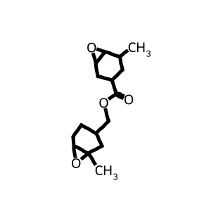 CC1CC(C(=O)OCC2CCC3OC3(C)C2)CC2OC12